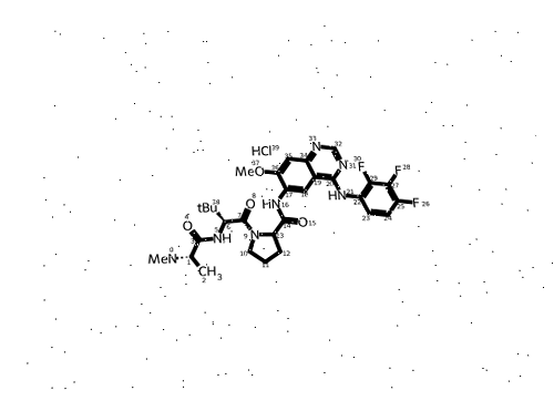 CN[C@@H](C)C(=O)N[C@H](C(=O)N1CCCC1C(=O)Nc1cc2c(Nc3ccc(F)c(F)c3F)ncnc2cc1OC)C(C)(C)C.Cl